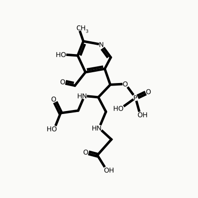 Cc1ncc(C(OP(=O)(O)O)C(CNCC(=O)O)NCC(=O)O)c(C=O)c1O